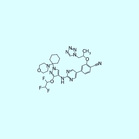 CC(Cn1cnnn1)Oc1cc(-c2cnc(Nc3cn(C4(N5CCOCC5)CCCCC4)nc3OC(F)C(F)F)nc2)ccc1C#N